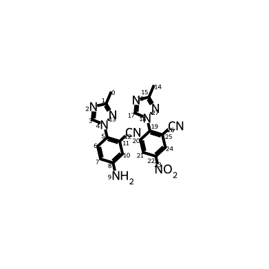 Cc1ncn(-c2ccc(N)cc2C#N)n1.Cc1ncn(-c2ccc([N+](=O)[O-])cc2C#N)n1